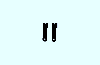 [O]=[Ni].[O]=[Ni]